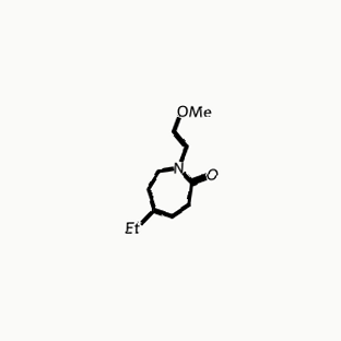 CCC1CCC(=O)N(CCOC)CC1